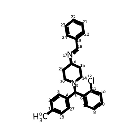 Cc1ccc(C(c2ccccc2Cl)N2CCC(N=Cc3ccccc3)CC2)cc1